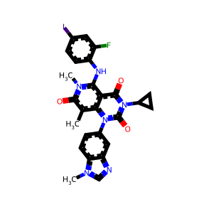 Cc1c(=O)n(C)c(Nc2ccc(I)cc2F)c2c(=O)n(C3CC3)c(=O)n(-c3ccc4c(c3)ncn4C)c12